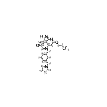 Nc1nc(OCCC(F)(F)F)cc2c1NC(=O)CN2Cc1cccc(CN2CCCC2)c1